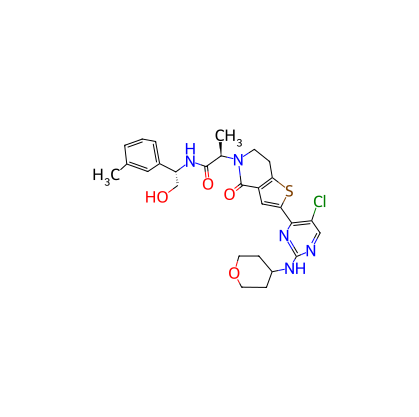 Cc1cccc([C@@H](CO)NC(=O)[C@@H](C)N2CCc3sc(-c4nc(NC5CCOCC5)ncc4Cl)cc3C2=O)c1